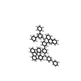 c1ccc(-c2ccc(N(c3ccc(-c4ccc5c(c4)-c4nc6ccccc6c6cccc(c46)N5c4nc(-c5ccccc5)nc(-c5ccccc5)n4)cc3)c3cccc4c3-c3ccccc3C43c4ccccc4-c4ccccc43)cc2)cc1